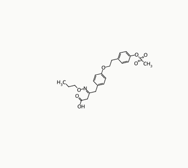 CCCON=C(CC(=O)O)Cc1ccc(OCCc2ccc(OS(C)(=O)=O)cc2)cc1